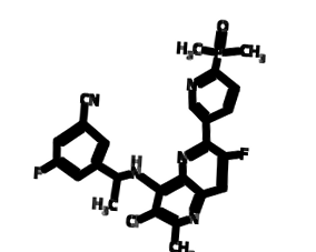 Cc1nc2cc(F)c(-c3ccc(P(C)(C)=O)nc3)nc2c(NC(C)c2cc(F)cc(C#N)c2)c1Cl